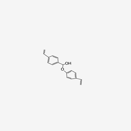 C=Cc1ccc(OC(O)c2ccc(C=C)cc2)cc1